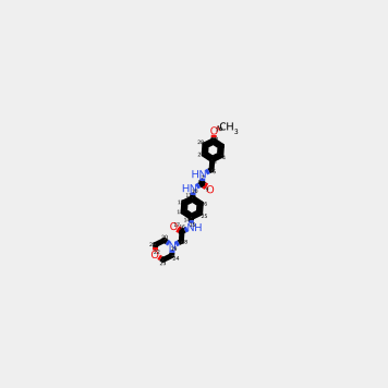 COc1ccc(CNC(=O)Nc2ccc(NC(=O)CN3CCOCC3)cc2)cc1